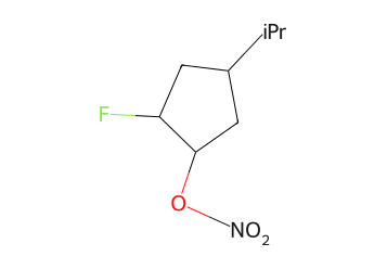 CC(C)C1CC(F)C(O[N+](=O)[O-])C1